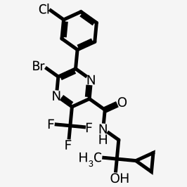 CC(O)(CNC(=O)c1nc(-c2cccc(Cl)c2)c(Br)nc1C(F)(F)F)C1CC1